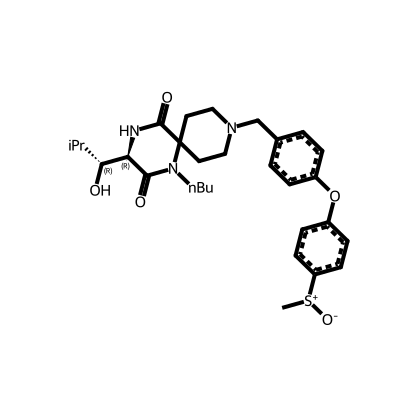 CCCCN1C(=O)[C@@H]([C@H](O)C(C)C)NC(=O)C12CCN(Cc1ccc(Oc3ccc([S+](C)[O-])cc3)cc1)CC2